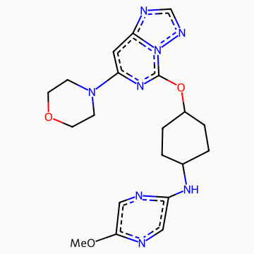 COc1cnc(NC2CCC(Oc3nc(N4CCOCC4)cc4ncnn34)CC2)cn1